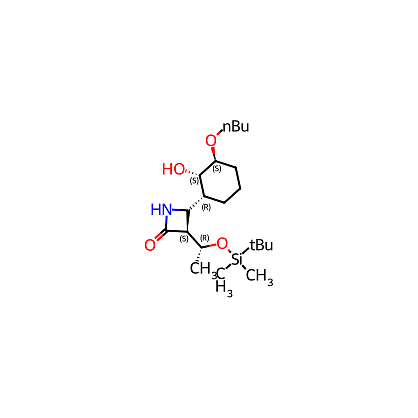 CCCCO[C@H]1CCC[C@H](C2NC(=O)[C@@H]2[C@@H](C)O[Si](C)(C)C(C)(C)C)[C@@H]1O